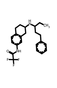 CCC(CCc1ccccc1)NC1CCc2ccc(NC(=O)C(F)(F)F)cc2C1